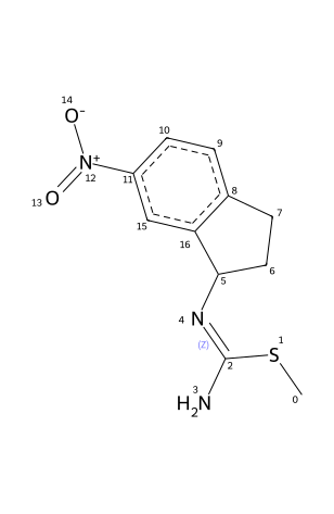 CS/C(N)=N\C1CCc2ccc([N+](=O)[O-])cc21